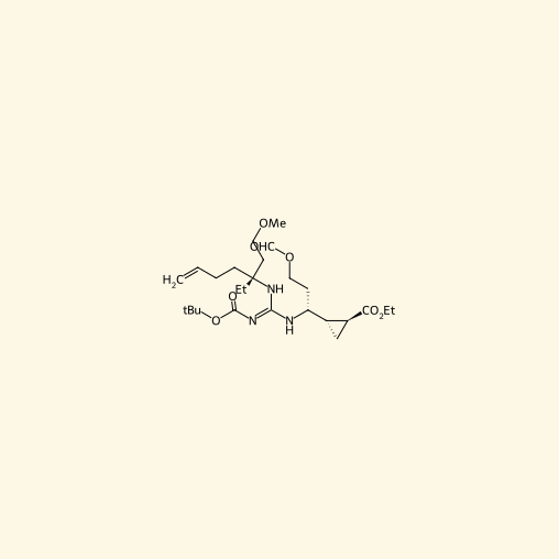 C=CCC[C@](CC)(CCOC)N/C(=N\C(=O)OC(C)(C)C)N[C@H](CCOC=O)[C@H]1C[C@@H]1C(=O)OCC